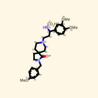 COc1ccc(CN2CCC3(CCN(CCC(NC(=O)O)c4ccc(OC)c(OC)c4)CC3)C2=O)cc1